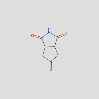 C=C1CC2C(=O)NC(=O)C2C1